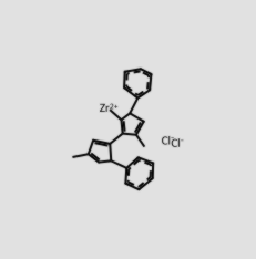 CC1=CC(c2ccccc2)C(C2=[C]([Zr+2])C(c3ccccc3)C=C2C)=C1.[Cl-].[Cl-]